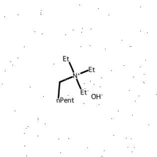 CCCCCC[N+](CC)(CC)CC.[OH-]